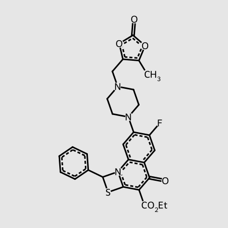 CCOC(=O)c1c2n(c3cc(N4CCN(Cc5oc(=O)oc5C)CC4)c(F)cc3c1=O)C(c1ccccc1)S2